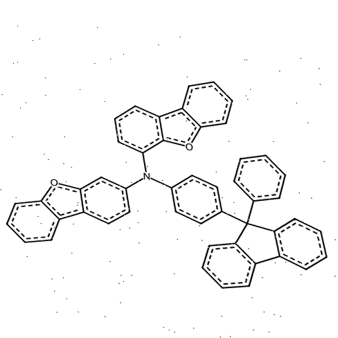 c1ccc(C2(c3ccc(N(c4ccc5c(c4)oc4ccccc45)c4cccc5c4oc4ccccc45)cc3)c3ccccc3-c3ccccc32)cc1